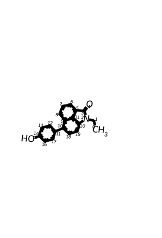 CCN1C(=O)c2cccc3c(-c4ccc(O)cc4)ccc1c23